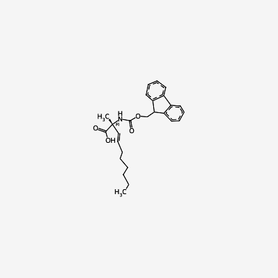 CCCCCCC=C[C@@](C)(NC(=O)OCC1c2ccccc2-c2ccccc21)C(=O)O